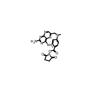 CN(Cc1cnc2nc(N)nc(N)c2n1)c1ccc(C(=O)ON2C(=O)CCC2=O)cc1